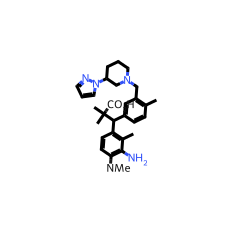 CNc1ccc(C(c2ccc(C)c(CN3CCCC(n4cccn4)C3)c2)C(C)(C)C(=O)O)c(C)c1N